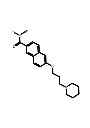 CCN(C(=O)c1ccc2cc(OCCCN3CCCCC3)ccc2c1)C(C)C